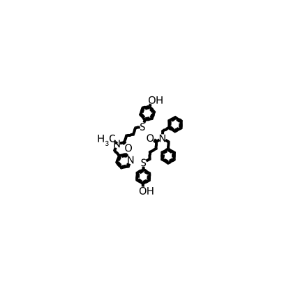 CN(Cc1cccnc1)C(=O)CCCSc1ccc(O)cc1.O=C(CCCSc1ccc(O)cc1)N(Cc1ccccc1)Cc1ccccc1